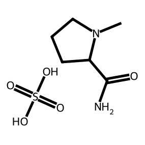 CN1CCCC1C(N)=O.O=S(=O)(O)O